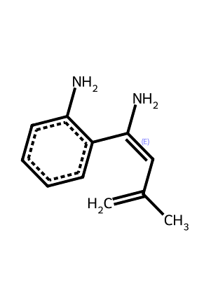 C=C(C)/C=C(/N)c1ccccc1N